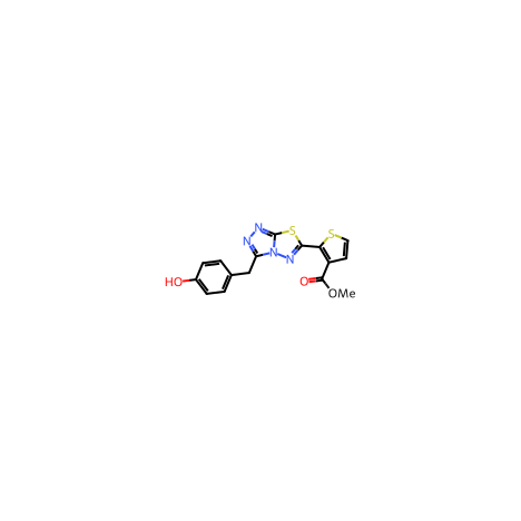 COC(=O)c1ccsc1-c1nn2c(Cc3ccc(O)cc3)nnc2s1